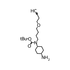 C#CCCOCCCCN(C(=O)OC(C)(C)C)[C@H]1CC[C@@H](N)CC1